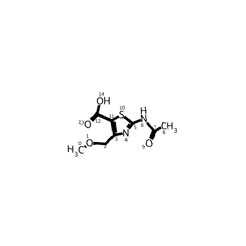 COCc1nc(NC(C)=O)sc1C(=O)O